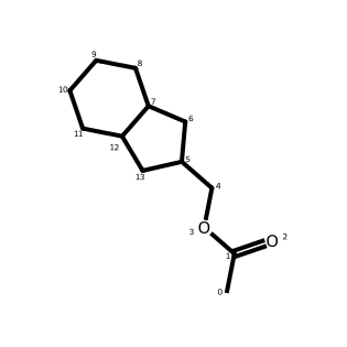 CC(=O)OCC1CC2CCCCC2C1